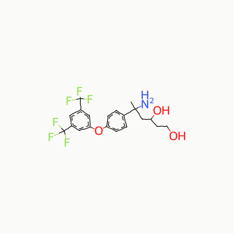 CC(N)(CC(O)CCO)c1ccc(Oc2cc(C(F)(F)F)cc(C(F)(F)F)c2)cc1